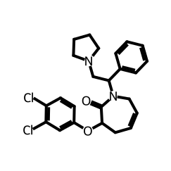 O=C1C(Oc2ccc(Cl)c(Cl)c2)CC=CCN1C(CN1CCCC1)c1ccccc1